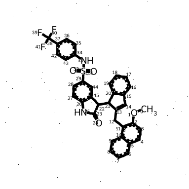 COc1ccc2ccccc2c1CC1=Cc2ccccc2C1C1C(=O)Nc2ccc(S(=O)(=O)Nc3ccc(C(F)(F)F)cc3)cc21